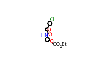 CCOC(=O)COc1cccc(NC(=O)c2ccc(-c3ccc(Cl)cc3)o2)c1